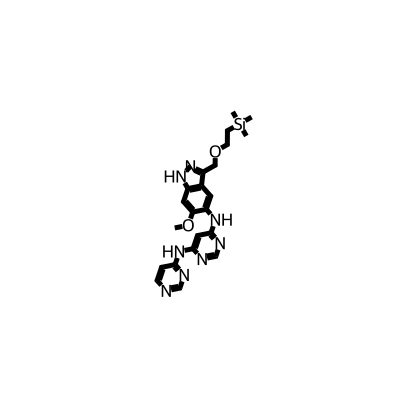 COc1cc2[nH]nc(COCC[Si](C)(C)C)c2cc1Nc1cc(Nc2ccncn2)ncn1